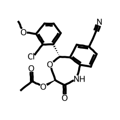 COc1cccc([C@H]2O[C@H](OC(C)=O)C(=O)Nc3ccc(C#N)cc32)c1Cl